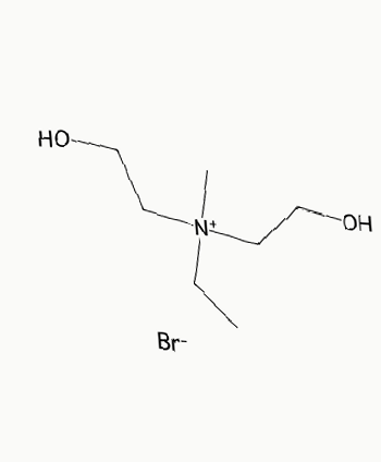 CC[N+](C)(CCO)CCO.[Br-]